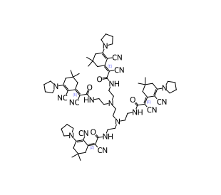 CC1(C)CC(N2CCCC2)=C(C#N)/C(=C(/C#N)C(=O)NCCN(CCNC(=O)/C(C#N)=C2\CC(C)(C)CC(N3CCCC3)=C2C#N)CCN(CCNC(=O)/C(C#N)=C2\CC(C)(C)CC(N3CCCC3)=C2C#N)CCNC(=O)/C(C#N)=C2\CC(C)(C)CC(N3CCCC3)=C2C#N)C1